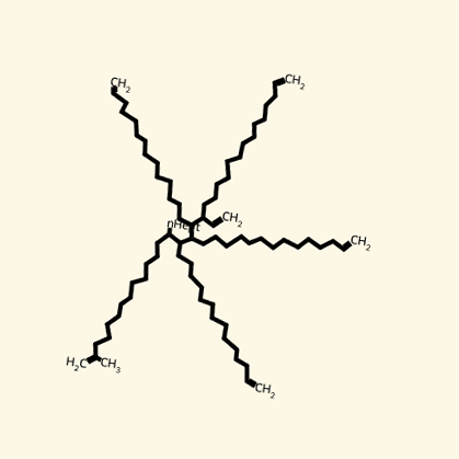 C=CCCCCCCCCCCCCC(C=C)C(CCCCCCCCCCCCC=C)C(CCCCCCCCCCCCC=C)C(CCCCCCCCCCCCC=C)C(CCCCCCC)CCCCCCCCCCCC(=C)C